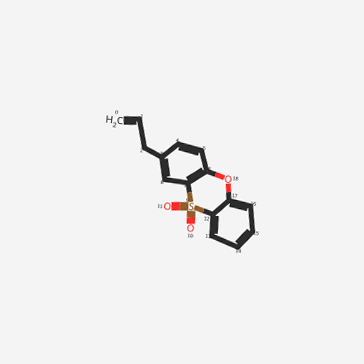 C=CCc1ccc2c(c1)S(=O)(=O)c1ccccc1O2